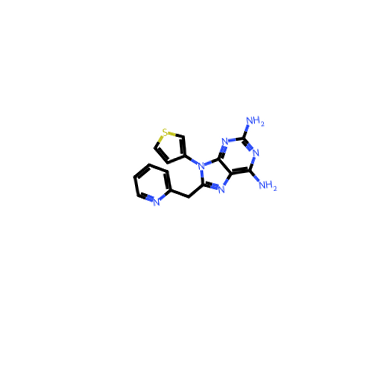 Nc1nc(N)c2nc(Cc3ccccn3)n(-c3ccsc3)c2n1